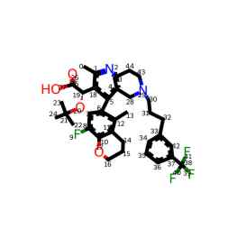 Cc1nc2c(c(-c3cc(F)c4c(c3C)CCCO4)c1[C@H](OC(C)(C)C)C(=O)O)CN(CCCc1cccc(C(F)(F)F)c1)CC2